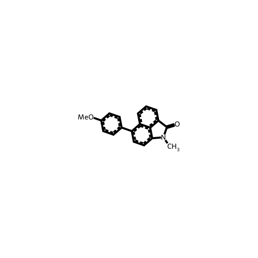 COc1ccc(-c2ccc3c4c(cccc24)C(=O)N3C)cc1